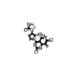 CC(C)(C)[C@H]1C(OC(N)=O)CCN1c1nc(Cl)nc2c(F)c(Cl)ncc12